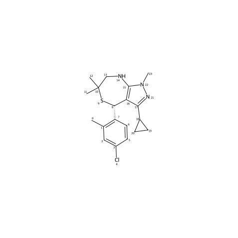 Cc1cc(Cl)ccc1[C@@H]1SC(C)(C)CNc2c1c(C1CC1)nn2C